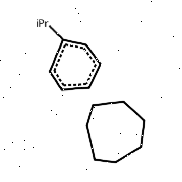 C1CCCCCC1.CC(C)c1ccccc1